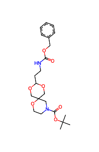 CC(C)(C)OC(=O)N1CCOC2(COC(CCNC(=O)OCc3ccccc3)OC2)C1